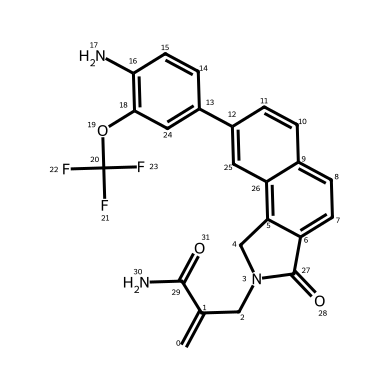 C=C(CN1Cc2c(ccc3ccc(-c4ccc(N)c(OC(F)(F)F)c4)cc23)C1=O)C(N)=O